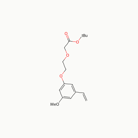 C=Cc1cc(OC)cc(OCCOCC(=O)OC(C)(C)C)c1